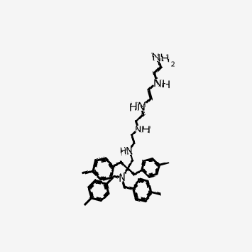 Cc1ccc(CN(Cc2ccc(C)cc2)C(CNCCNCCNCCNCCN)(Cc2ccc(C)cc2)Cc2ccc(C)cc2)cc1